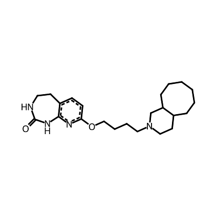 O=C1NCCc2ccc(OCCCCN3CCC4CCCCCCC4C3)nc2N1